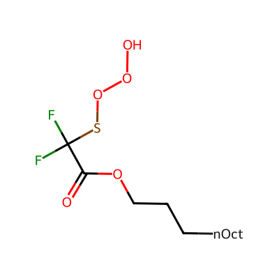 CCCCCCCCCCCOC(=O)C(F)(F)SOOO